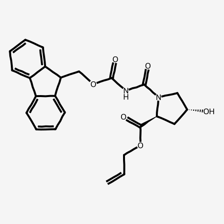 C=CCOC(=O)[C@@H]1C[C@@H](O)CN1C(=O)NC(=O)OCC1c2ccccc2-c2ccccc21